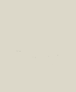 COc1cc(C=O)cc(O[Si](C)(C)C(C)(C)C)c1OC